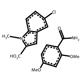 COc1ccc(C(N)=O)c(OC)c1.Cn1c(C(=O)O)cc2cc(Cl)ccc21